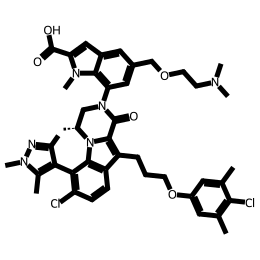 Cc1cc(OCCCc2c3n(c4c(-c5c(C)nn(C)c5C)c(Cl)ccc24)[C@H](C)CN(c2cc(COCCN(C)C)cc4cc(C(=O)O)n(C)c24)C3=O)cc(C)c1Cl